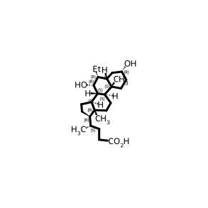 CC[C@H]1[C@@H](O)[C@@H]2[C@H](CC[C@]3(C)[C@@H]([C@@H](C)CCC(=O)O)CC[C@@H]23)[C@@]2(C)CC[C@@H](O)C[C@@H]12